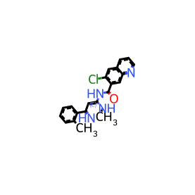 CN/C(=C\C(=N)c1ccccc1C)NC(=O)c1cc2ncccc2cc1Cl